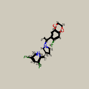 C[C@@H](c1cc2c(cc1F)OCCO2)N1CC[C@H](Cc2ncc(F)cc2F)C1